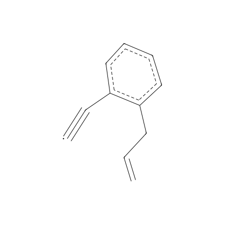 [C]#Cc1ccccc1CC=C